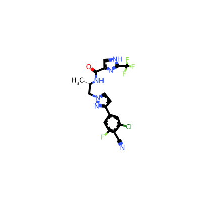 C[C@@H](Cn1ccc(-c2cc(F)c(C#N)c(Cl)c2)n1)NC(=O)c1c[nH]c(C(F)(F)F)n1